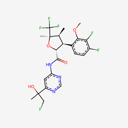 COc1c([C@H]2[C@H](C(=O)Nc3cc(C(C)(O)CF)ncn3)O[C@@](C)(C(F)(F)F)[C@H]2C)ccc(F)c1F